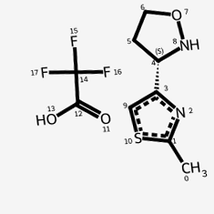 Cc1nc([C@@H]2CCON2)cs1.O=C(O)C(F)(F)F